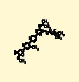 COC(=O)C1(COc2cc(C)c(-c3ccc(-c4nc(OC(C)C)n(COCCS(C)(C)C)n4)cn3)cn2)CC1